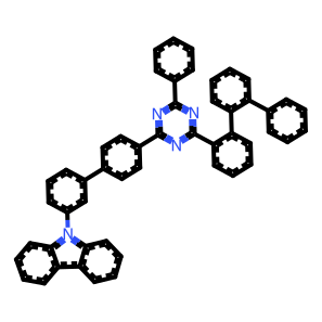 c1ccc(-c2nc(-c3ccc(-c4cccc(-n5c6ccccc6c6ccccc65)c4)cc3)nc(-c3ccccc3-c3ccccc3-c3ccccc3)n2)cc1